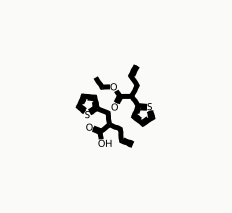 C=CCC(C(=O)OCC)c1cccs1.C=CCC(Cc1cccs1)C(=O)O